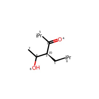 CC(C)C[C@H](C(=O)C(C)C)C(C)O